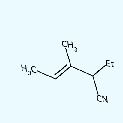 CC=C(C)C(C#N)CC